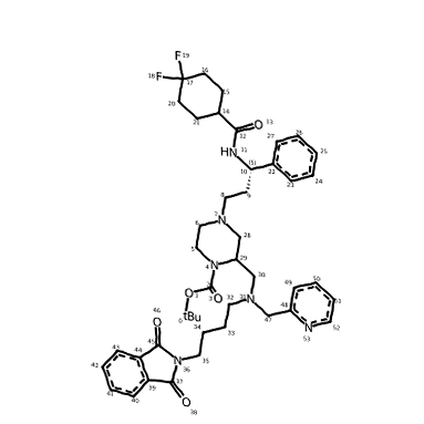 CC(C)(C)OC(=O)N1CCN(CC[C@H](NC(=O)C2CCC(F)(F)CC2)c2ccccc2)CC1CN(CCCCN1C(=O)c2ccccc2C1=O)Cc1ccccn1